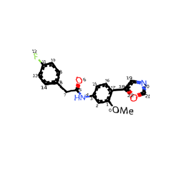 COc1cc(NC(=O)Cc2ccc(F)cc2)ccc1-c1cnco1